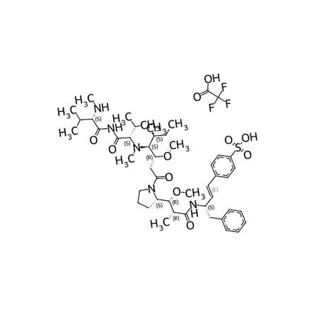 CC[C@H](C)[C@@H]([C@@H](CC(=O)N1CCC[C@H]1[C@H](OC)[C@@H](C)C(=O)N[C@H](/C=C/c1ccc(S(=O)(=O)O)cc1)Cc1ccccc1)OC)N(C)[C@H](C(=O)NC(=O)[C@@H](NC)C(C)C)C(C)C.O=C(O)C(F)(F)F